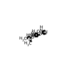 C=CCC(COCC)NS(=O)(=O)c1ccc(CN2c3ccncc3NC2C)cc1